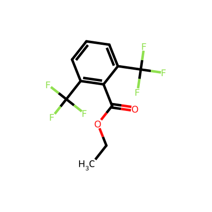 CCOC(=O)c1c(C(F)(F)F)cccc1C(F)(F)F